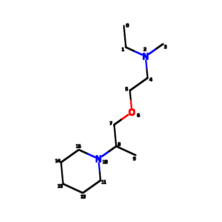 CCN(C)CCOCC(C)N1CCCCC1